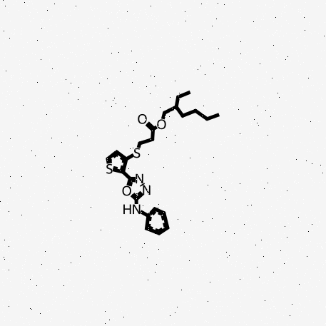 CCCCC(CC)COC(=O)CCSc1ccsc1-c1nnc(Nc2ccccc2)o1